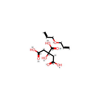 C=CCOCC=C.O=C(O)CC(O)(CC(=O)O)C(=O)O